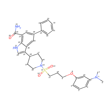 CN(C)c1cccc(OCCCS(=O)(=O)N2CCC(c3c[nH]c4c(C(N)=O)cc(-c5ccccc5)cc34)CC2)c1